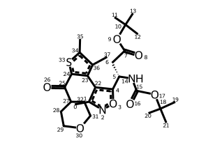 Cc1noc([C@H](CC(=O)OC(C)(C)C)NC(=O)OC(C)(C)C)c1-c1c(C(=O)C2CCOCC2)sc(C)c1C